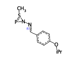 CC(C)Oc1ccc(/C=N/N2P=S2C)cc1